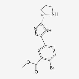 COC(=O)c1cc(-c2cnc([C@@H]3CCCN3)[nH]2)ccc1Br